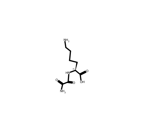 NCCCC[C@H](NC(=O)C(N)=O)C(=O)O